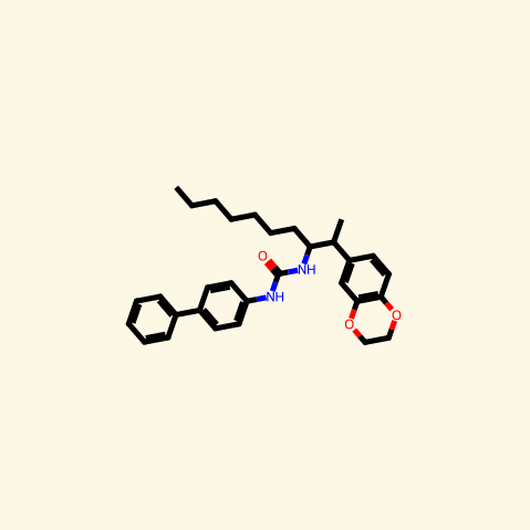 CCCCCCCC(NC(=O)Nc1ccc(-c2ccccc2)cc1)C(C)c1ccc2c(c1)OCCO2